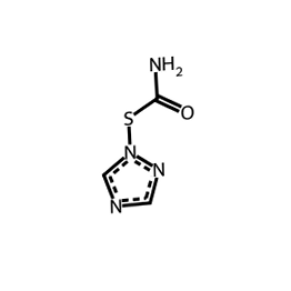 NC(=O)Sn1cncn1